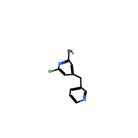 Cc1cc(Cc2cccnc2)cc(Cl)n1